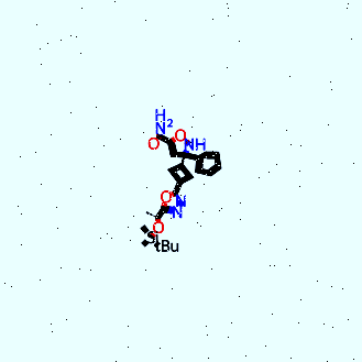 C[C@@H](O[Si](C)(C)C(C)(C)C)c1nnc(C2CC([C@@]3(c4ccccc4)C=C(C(N)=O)ON3)C2)o1